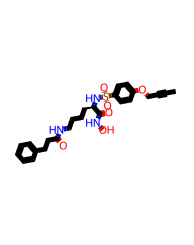 CC#CCOc1ccc(S(=O)(=O)N[C@H](CCCCNC(=O)CCc2ccccc2)C(=O)NO)cc1